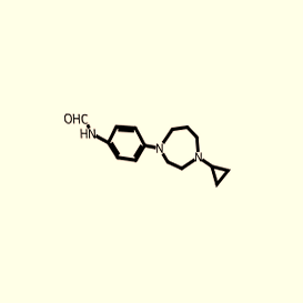 O=CNc1ccc(N2CCCN(C3CC3)CC2)cc1